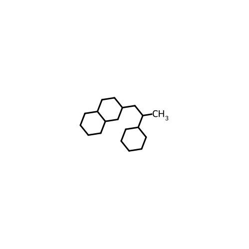 CC(CC1CCC2CCCCC2C1)C1CCCCC1